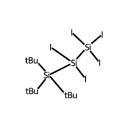 CC(C)(C)[Si](C(C)(C)C)(C(C)(C)C)[Si](I)(I)[Si](I)(I)I